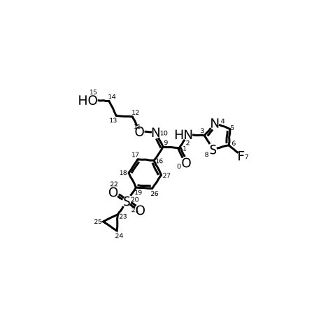 O=C(Nc1ncc(F)s1)/C(=N/OCCCO)c1ccc(S(=O)(=O)C2CC2)cc1